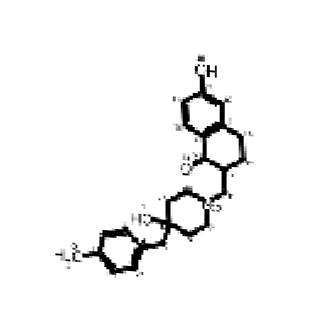 Cc1ccc(CC2(O)CCN(CC3CCc4cc(O)ccc4C3O)CC2)cc1